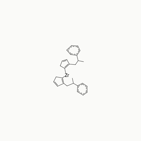 CC(CC1=[C]([Zr][C]2=C(CC(C)c3ccccc3)C=CC2)CC=C1)c1ccccc1